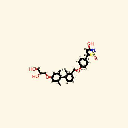 Cc1cc(OC[C@H](O)CO)cc(C)c1-c1cccc(COc2ccc(-c3cc(O)n[s+]3[O-])cc2)c1C